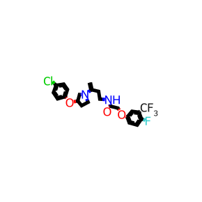 C=C(CCNC(=O)COc1ccc(F)c(C(F)(F)F)c1)N1CCC(Oc2ccc(Cl)cc2)C1